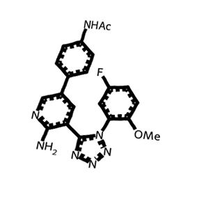 COc1ccc(F)cc1-n1nnnc1-c1cc(-c2ccc(NC(C)=O)cc2)cnc1N